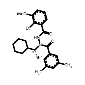 CCC[C@H](C1CCCCC1)N(NC(=O)c1cccc(OC)c1CC)C(=O)c1cc(C)cc(C)c1